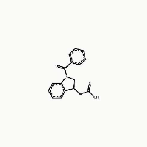 O=C(O)CC1CN(C(=O)c2ccccc2)c2ccccc21